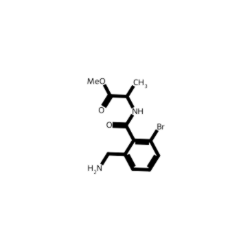 COC(=O)C(C)NC(=O)c1c(Br)cccc1CN